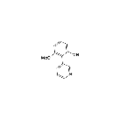 COc1cccc(C#N)c1-c1cccnc1